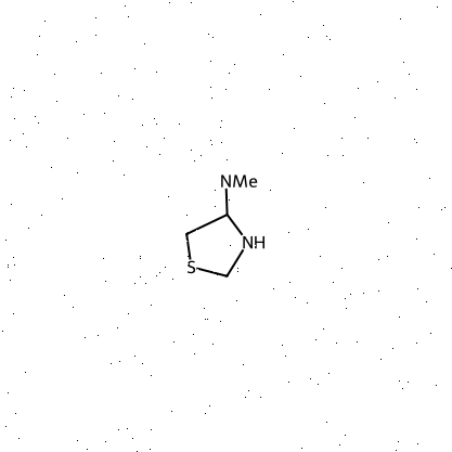 CNC1CSCN1